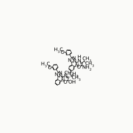 COc1cccc(-c2nc3c4ccccc4nc(N(C)[C@@H](C(=O)O)C(C)C)n3n2)c1.COc1cccc(-c2nc3c4ccccc4nc(N[C@@H](C(N)=O)C(C)C)n3n2)c1